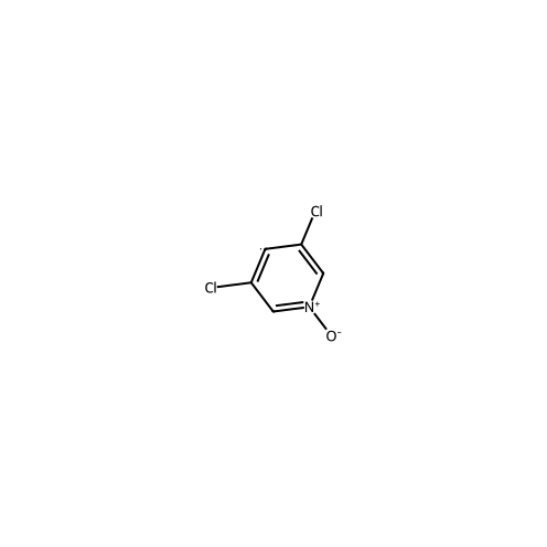 [O-][n+]1cc(Cl)[c]c(Cl)c1